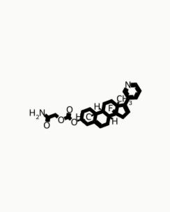 C[C@]12CC[C@H](OC(=O)OCC(N)=O)CC1=CC[C@@H]1[C@@H]2CC[C@]2(C)C(c3cccnc3)=CCC12F